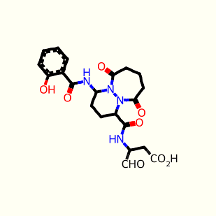 O=CC(CC(=O)O)NC(=O)C1CCC(NC(=O)c2ccccc2O)N2C(=O)CCCC(=O)N12